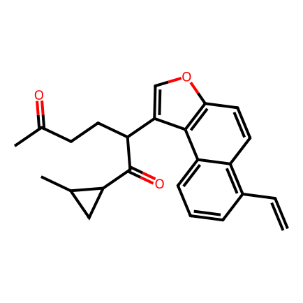 C=Cc1cccc2c1ccc1occ(C(CCC(C)=O)C(=O)C3CC3C)c12